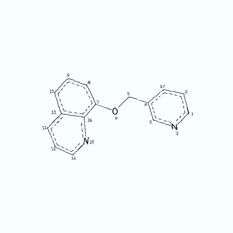 c1cncc(COc2cccc3cccnc23)c1